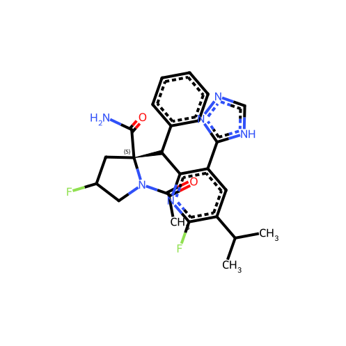 CC(=O)N1CC(F)C[C@@]1(C(N)=O)C(c1ccccc1)c1nc(F)c(C(C)C)cc1-c1nnc[nH]1